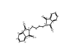 O=C1c2ccccc2C(=S)N1CCCCN1C(=O)c2ccccc2C1=S